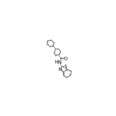 O=C(Nc1nc2ccccc2s1)c1ccc(-c2ccccc2)cc1